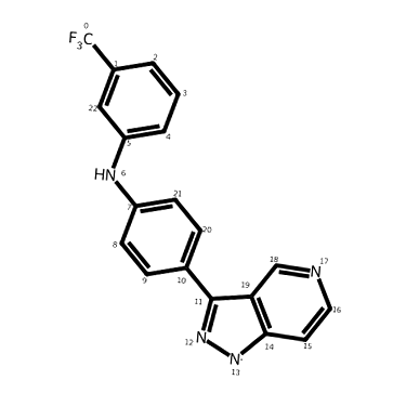 FC(F)(F)c1cccc(Nc2ccc(C3=N[N]c4ccncc43)cc2)c1